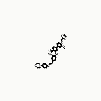 COc1cc(-c2ccc3c(c2)Nc2ccc(CCOc4ccc(N5CCOCC5)cc4)cc2NC3=O)ccc1OCC1OCCO1